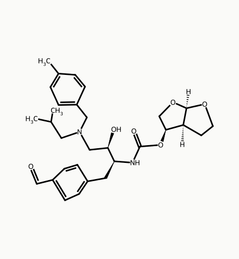 Cc1ccc(CN(CC(C)C)C[C@@H](O)[C@H](Cc2ccc(C=O)cc2)NC(=O)O[C@H]2CO[C@H]3OCC[C@H]32)cc1